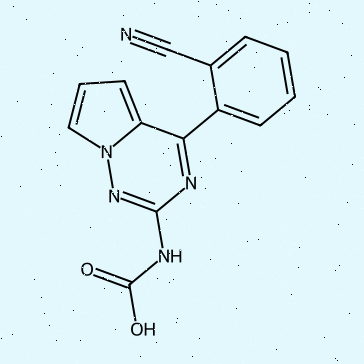 N#Cc1ccccc1-c1nc(NC(=O)O)nn2cccc12